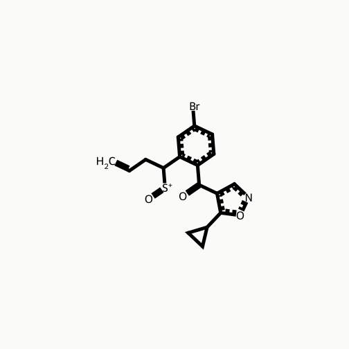 C=CCC([S+]=O)c1cc(Br)ccc1C(=O)c1cnoc1C1CC1